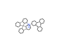 c1ccc2c(c1)-c1ccccc1C21c2ccccc2-c2cccc(Nc3ccc4c5ccccc5c5ccccc5c4c3)c21